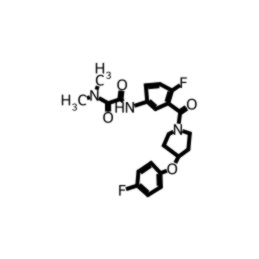 CN(C)C(=O)C(=O)Nc1ccc(F)c(C(=O)N2CCC(Oc3ccc(F)cc3)CC2)c1